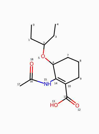 CCC(CC)OC1CCCC(C(=O)O)=C1NC(C)=O